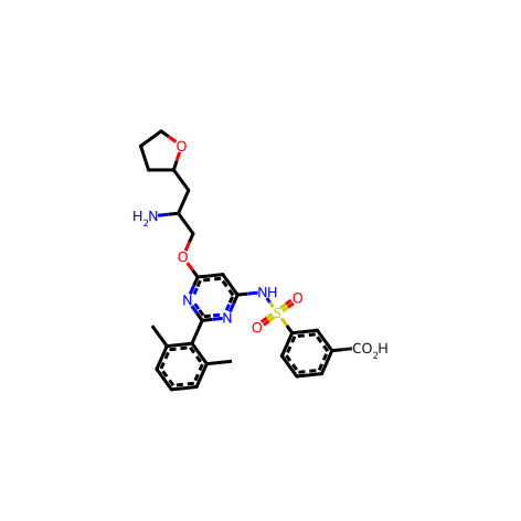 Cc1cccc(C)c1-c1nc(NS(=O)(=O)c2cccc(C(=O)O)c2)cc(OCC(N)CC2CCCO2)n1